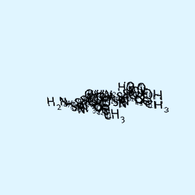 COc1ccc2c(c1C(=O)O)OB(O)[C@@H](Sc1nnc(SC3CNC3OC(=O)c3c(OC)ccc4c3OB(O)[C@@H](Sc3nnc(SCCN)s3)C4)s1)C2